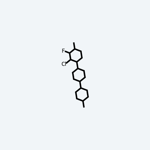 CC1CCC(C2CCC(C3CCC(C)C(F)C3Cl)CC2)CC1